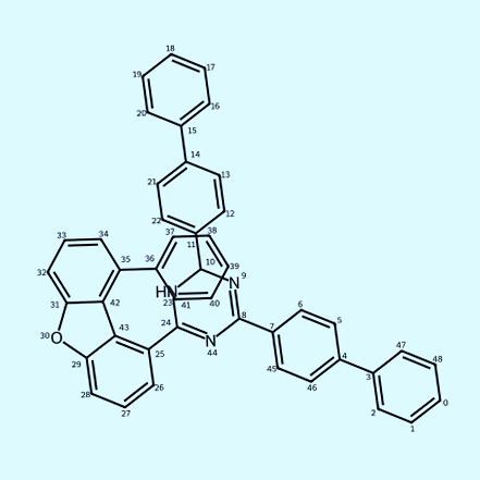 c1ccc(-c2ccc(C3=NC(c4ccc(-c5ccccc5)cc4)NC(c4cccc5oc6cccc(-c7ccccc7)c6c45)=N3)cc2)cc1